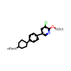 CCCCCCCCOc1ncc(-c2ccc(C3CCC(CCCCC)CC3)cc2)cc1Cl